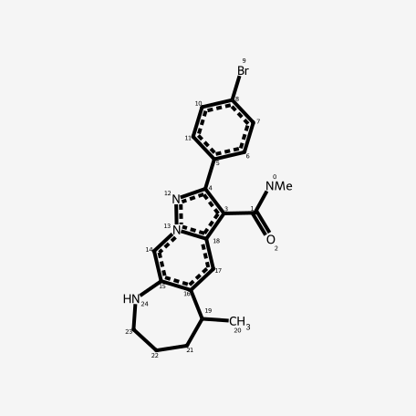 CNC(=O)c1c(-c2ccc(Br)cc2)nn2cc3c(cc12)C(C)CCCN3